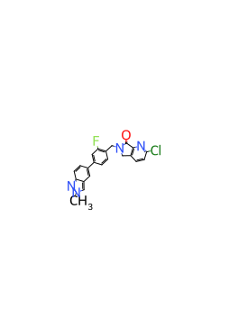 Cn1cc2cc(-c3ccc(CN4Cc5ccc(Cl)nc5C4=O)c(F)c3)ccc2n1